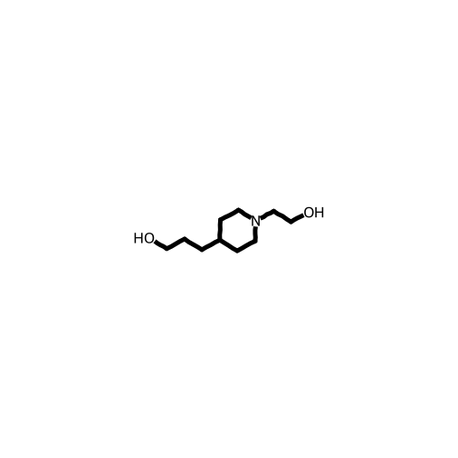 OCCCC1CCN(CCO)CC1